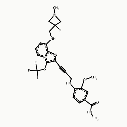 CNC(=O)c1ccc(NCC#Cc2nc3c(NCC4(F)CN(C)C4)cccn3c2SC(F)(F)F)c(OC)c1